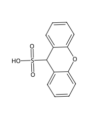 O=S(=O)(O)C1c2ccccc2Oc2ccccc21